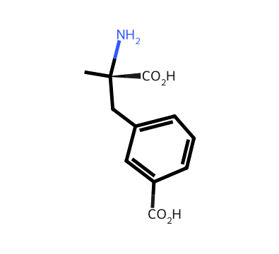 C[C@](N)(Cc1cccc(C(=O)O)c1)C(=O)O